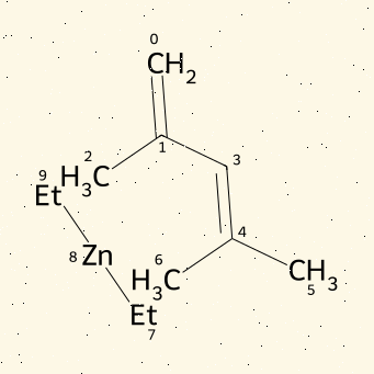 C=C(C)C=C(C)C.C[CH2][Zn][CH2]C